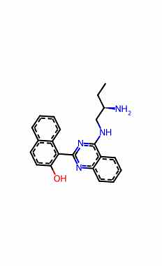 CC[C@@H](N)CNc1nc(-c2c(O)ccc3ccccc23)nc2ccccc12